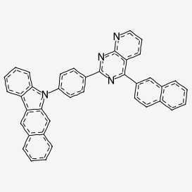 c1ccc2cc(-c3nc(-c4ccc(-n5c6ccccc6c6cc7ccccc7cc65)cc4)nc4ncccc34)ccc2c1